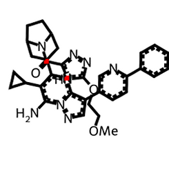 COCCOc1nnc(C(=O)N2C3CCC2CC(c2nc4c(-c5ccc(-c6ccccc6)nc5)cnn4c(N)c2C2CC2)C3)[nH]1